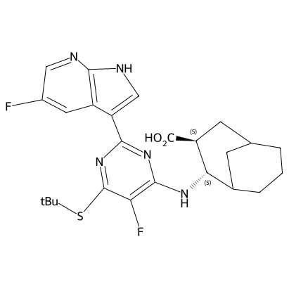 CC(C)(C)Sc1nc(-c2c[nH]c3ncc(F)cc23)nc(N[C@H]2C3CCCC(C3)C[C@@H]2C(=O)O)c1F